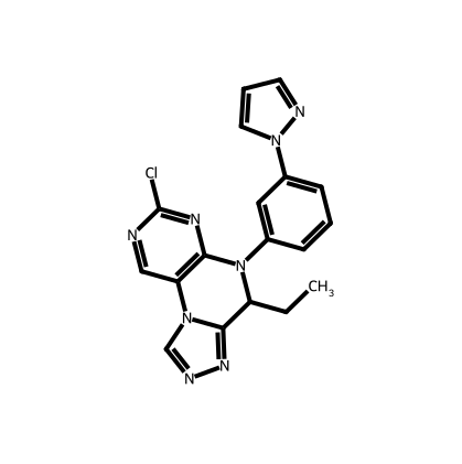 CCC1c2nncn2-c2cnc(Cl)nc2N1c1cccc(-n2cccn2)c1